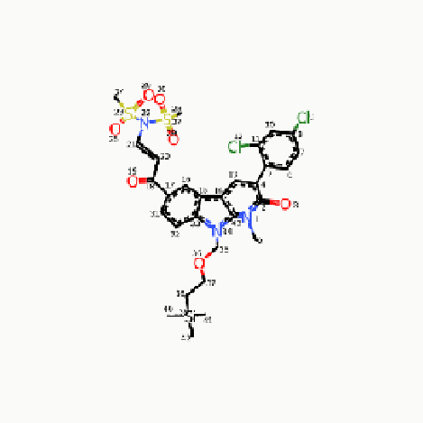 Cn1c(=O)c(-c2ccc(Cl)cc2Cl)cc2c3cc(C(=O)C=CN(S(C)(=O)=O)S(C)(=O)=O)ccc3n(COCC[Si](C)(C)C)c21